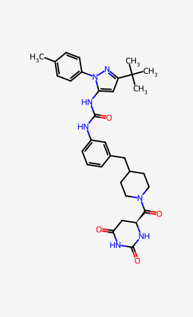 Cc1ccc(-n2nc(C(C)(C)C)cc2NC(=O)Nc2cccc(CC3CCN(C(=O)[C@@H]4CC(=O)NC(=O)N4)CC3)c2)cc1